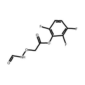 O=CNOCC(=O)Oc1c(F)ccc(F)c1F